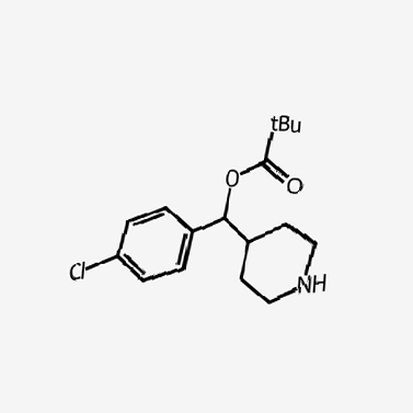 CC(C)(C)C(=O)OC(c1ccc(Cl)cc1)C1CCNCC1